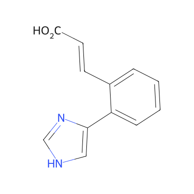 O=C(O)C=Cc1ccccc1-c1c[nH]cn1